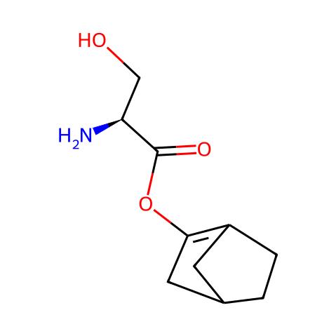 N[C@@H](CO)C(=O)OC1=C2CCC(C2)C1